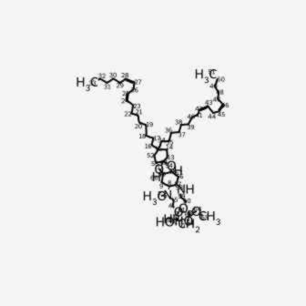 C=[PH](O)OCCN(C)[C@@H]1C[C@@H]2OC3(CCC(CCCCCCCC/C=C\C/C=C\CCCCC)(CCCCCCCC/C=C\C/C=C\CCCCC)CC3)O[C@H]2C[C@@H]1NCCOP(O)OC